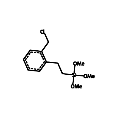 CO[Si](CCc1ccccc1CCl)(OC)OC